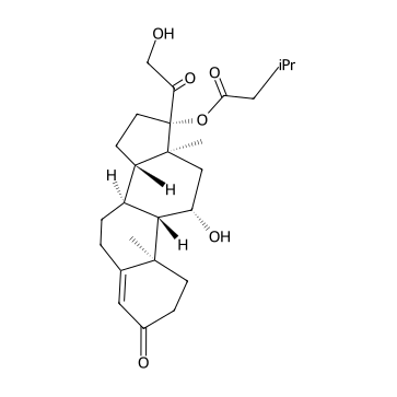 CC(C)CC(=O)O[C@@]1(C(=O)CO)CC[C@H]2[C@@H]3CCC4=CC(=O)CC[C@]4(C)[C@H]3[C@@H](O)C[C@@]21C